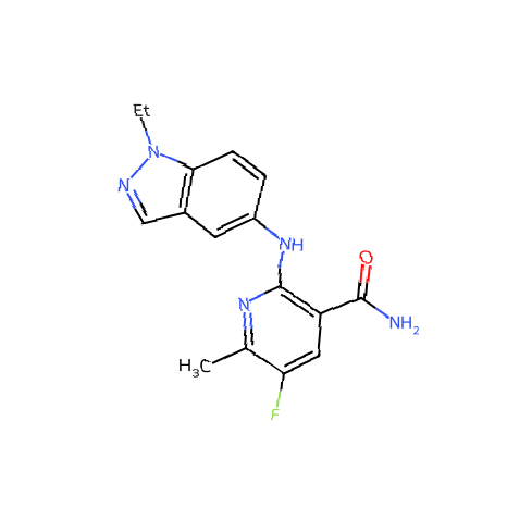 CCn1ncc2cc(Nc3nc(C)c(F)cc3C(N)=O)ccc21